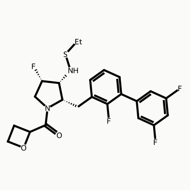 CCSN[C@H]1[C@@H](F)CN(C(=O)C2CCO2)[C@H]1Cc1cccc(-c2cc(F)cc(F)c2)c1F